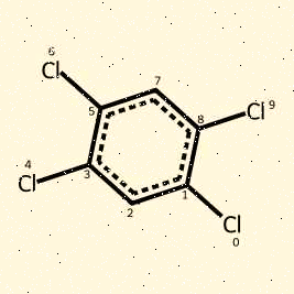 Clc1[c]c(Cl)c(Cl)cc1Cl